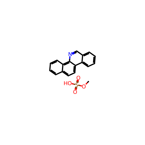 COS(=O)(=O)O.c1ccc2c(c1)cnc1c3ccccc3ccc21